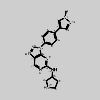 Cn1cc(-c2ccc(-n3nnc4cnc(NC5CCNC5)nc43)cc2)cn1